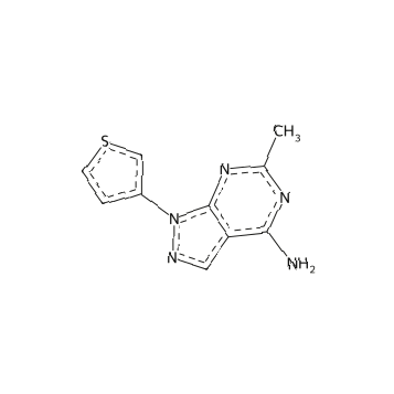 Cc1nc(N)c2cnn(-c3ccsc3)c2n1